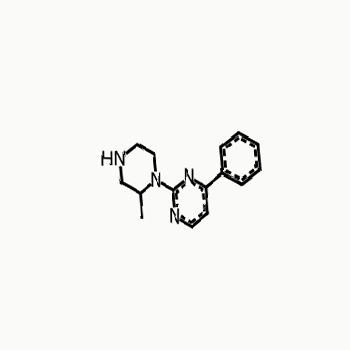 CC1CNCCN1c1nccc(-c2ccccc2)n1